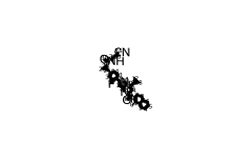 C[C@@H]1c2ccccc2CCN1C(=O)c1cc(C2CC2)n2nc(-c3ccc([C@H]4C[C@@H]4C(=O)NCCC#N)cc3F)cc2n1